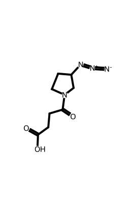 [N-]=[N+]=NC1CCN(C(=O)CCC(=O)O)C1